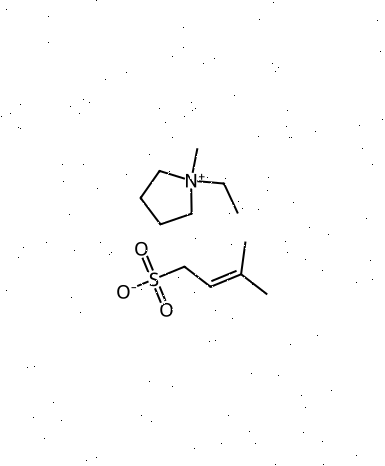 CC(C)=CCS(=O)(=O)[O-].CC[N+]1(C)CCCC1